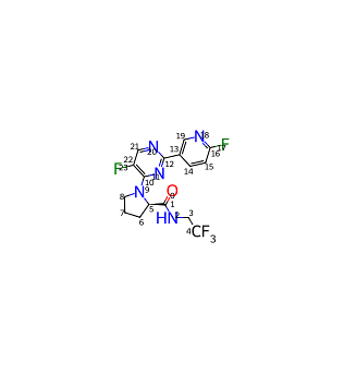 O=C(NCC(F)(F)F)[C@H]1CCCN1c1nc(-c2ccc(F)nc2)ncc1F